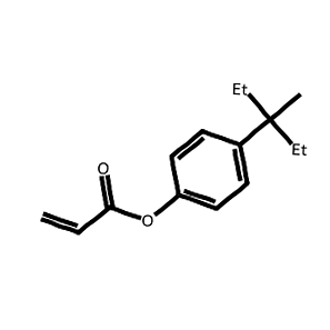 C=CC(=O)Oc1ccc(C(C)(CC)CC)cc1